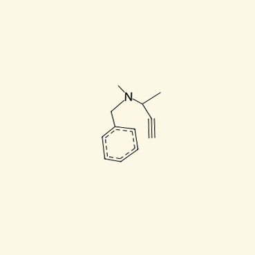 C#CC(C)N(C)Cc1ccccc1